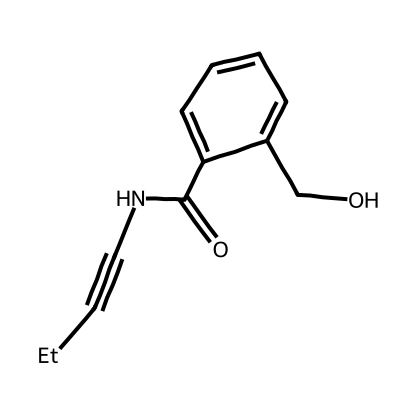 CCC#CNC(=O)c1ccccc1CO